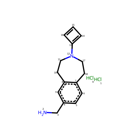 Cl.Cl.NCc1ccc2c(c1)CCN(C1=CC=C1)CC2